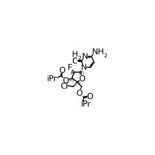 C=C1N=C(N)C=CN1[C@@H]1O[C@](CCl)(COC(=O)C(C)C)[C@@H](OC(=O)C(C)C)[C@H]1F